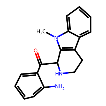 Cn1c2c(c3ccccc31)CCNC2C(=O)c1ccccc1N